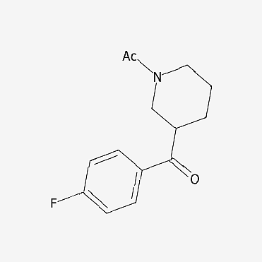 CC(=O)N1CCCC(C(=O)c2ccc(F)cc2)C1